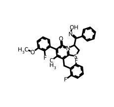 COc1cccc(-c2c(C)c(Cc3c(F)cccc3F)c3n(c2=O)C(C(=NO)c2ccccc2)CS3)c1F